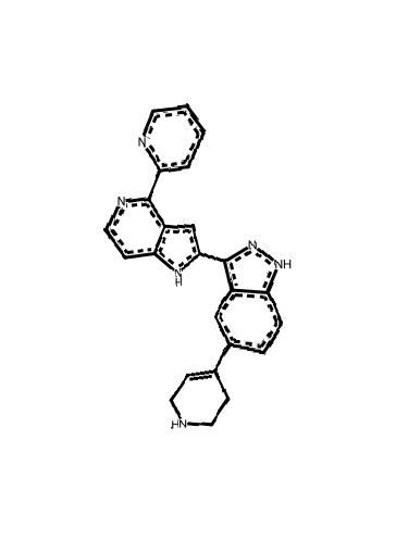 C1=C(c2ccc3[nH]nc(-c4cc5c(-c6ccccn6)nccc5[nH]4)c3c2)CCNC1